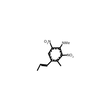 CC=Cc1cc([N+](=O)[O-])c(NC)c([N+](=O)[O-])c1C